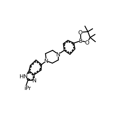 CC(C)c1nc2cc(N3CCN(c4ccc(B5OC(C)(C)C(C)(C)O5)cc4)CC3)ccc2[nH]1